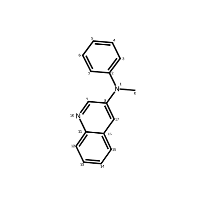 CN(c1ccccc1)c1cnc2ccccc2c1